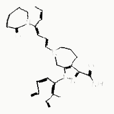 C=C/C=C\C(=C(\F)C=C)n1nc(C(N)=O)c2c1CN(/C=C/C=C(\C=C/C)N1CCCCC1=O)CCC2